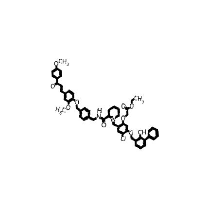 CCOC(=O)COc1cc(OCc2cccc(-c3ccccc3)c2C)c(Cl)cc1CN1CCCCC1C(=O)NCc1ccc(COc2ccc(/C=C/C(=O)c3ccc(OC)cc3)cc2OC)cc1